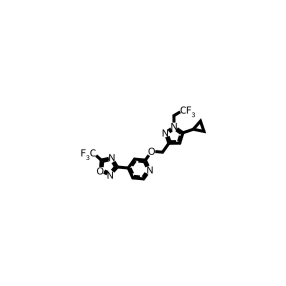 FC(F)(F)Cn1nc(COc2cc(-c3noc(C(F)(F)F)n3)ccn2)cc1C1CC1